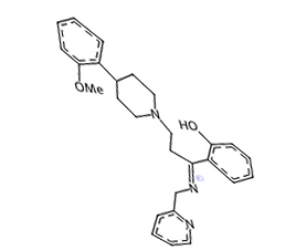 COc1ccccc1C1CCN(CC/C(=N\Cc2ccccn2)c2ccccc2O)CC1